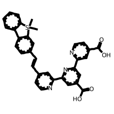 C[Si]1(C)c2ccccc2-c2ccc(/C=C/c3ccnc(-c4cc(C(=O)O)cc(-c5cc(C(=O)O)ccn5)n4)c3)cc21